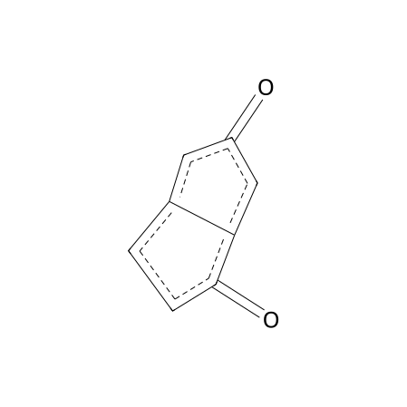 O=c1cc2ccc(=O)c-2c1